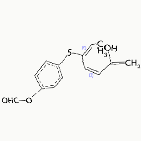 C=C(O)/C=C\C(=C/C)Sc1ccc(OC=O)cc1